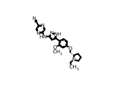 CCN1CCC[C@H]1COc1ccc(-c2cc(Nc3cnc(C#N)cn3)n[nH]2)c(OC)c1